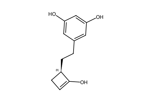 OC1=CC[C@H]1CCc1cc(O)cc(O)c1